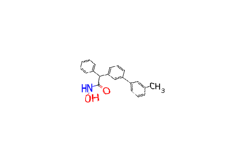 Cc1cccc(-c2cccc(C(C(=O)NO)c3ccccc3)c2)c1